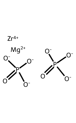 O=P([O-])([O-])[O-].O=P([O-])([O-])[O-].[Mg+2].[Zr+4]